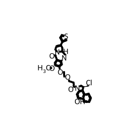 COc1cc2c(cc1OCCOCCC(=O)N1C[C@@H](CCl)c3c1cc(O)c1ccccc31)N=C[C@@H]1CC(c3ccsc3)=CCN1C2=O